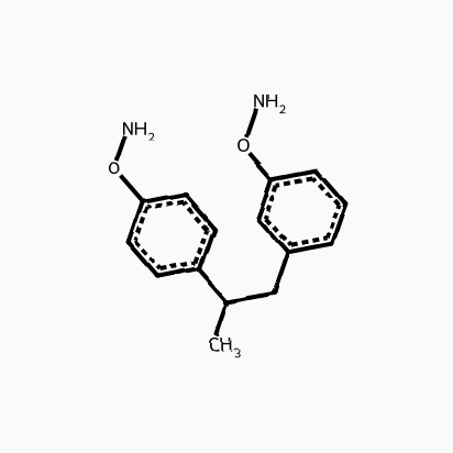 CC(Cc1cccc(ON)c1)c1ccc(ON)cc1